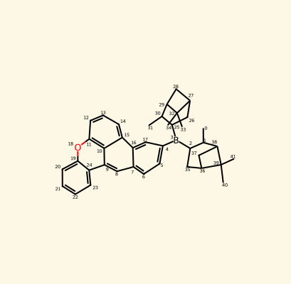 CC1C(B(c2ccc3cc4c5c(cccc5c3c2)Oc2ccccc2-4)C2CC3CC(C2C)C3(C)C)CC2CC1C2(C)C